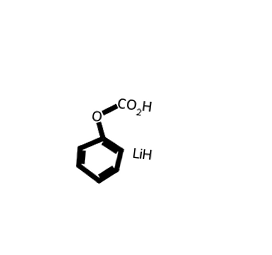 O=C(O)Oc1ccccc1.[LiH]